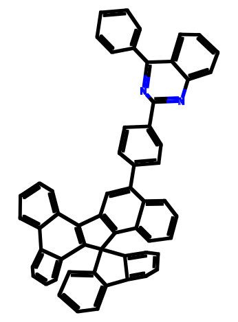 c1ccc(-c2nc(-c3ccc(-c4cc5c(c6ccccc46)C4(c6ccccc6-c6ccccc64)c4c-5c5ccccc5c5ccccc45)cc3)nc3ccccc23)cc1